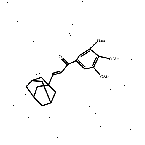 COc1cc(C(=O)C=CC23CC4CC(CC(C4)C2)C3)cc(OC)c1OC